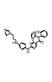 O=c1c2cnc(Nc3ccc(NCCCn4ccnc4)cc3)nc2n2ccnc2n1-c1ccccc1Cl